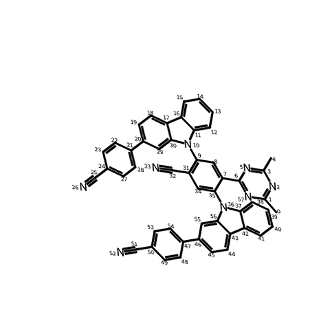 Cc1nc(C)nc(-c2cc(-n3c4ccccc4c4ccc(-c5ccc(C#N)cc5)cc43)c(C#N)cc2-n2c3ccccc3c3ccc(-c4ccc(C#N)cc4)cc32)n1